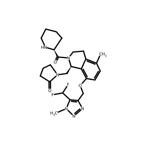 Cc1ccc(OCc2nnn(C)c2C(F)F)c2c1CCN(C(=O)[C@@H]1CCCCN1)[C@@H]2CN1CCCC1=O